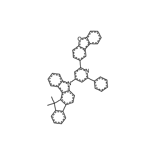 CC1(C)c2ccccc2-c2ccc3c(c21)c1ccccc1n3-c1cc(-c2ccccc2)nc(-c2ccc3oc4ccccc4c3c2)c1